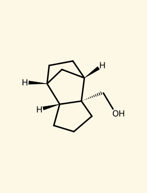 OC[C@]12CCC[C@@H]1[C@@H]1CC[C@H]2C1